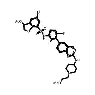 COCCN1CCC(Nc2ncc3cc(-c4c(F)ccc(NS(=O)(=O)c5cc(Cl)cc6c5OCC6OC(C)=O)c4F)ccc3n2)CC1